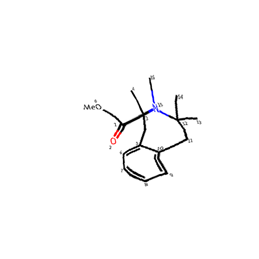 COC(=O)C1(C)c2ccccc2CC(C)(C)N1C